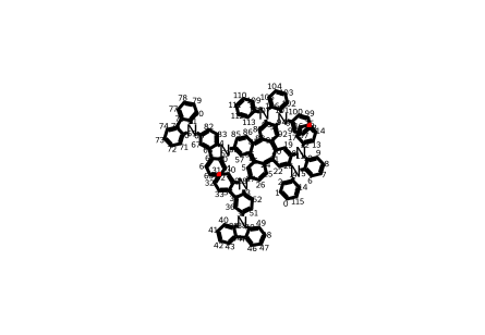 c1ccc(-n2c3ccccc3n(-c3ccccc3)c3cc4c(cc32)c2ccc(-n3c5ccccc5c5cc(-n6c7ccccc7c7ccccc76)ccc53)cc2c2cc(-n3c5ccccc5c5cc(-n6c7ccccc7c7ccccc76)ccc53)ccc2c2cc3c(cc24)n(-c2ccccc2)c2ccccc2n3-c2ccccc2)cc1